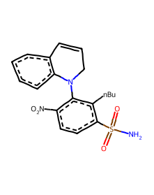 CCCCc1c(S(N)(=O)=O)ccc([N+](=O)[O-])c1N1CC=Cc2ccccc21